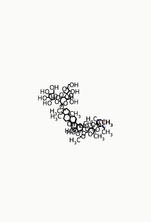 C/C=C(/C)C(=O)OC1C(O)[C@H](O[C@H]2[C@H](OC(C)=O)[C@@]3(CO)C(CC2(C)C)C2=CCC4[C@@]5(C)CC[C@H](O[C@@H]6OC(C(=O)O)CC(O)(OC7O[C@@H](CO)C(O)C7O)C6O[C@@H]6OC(CO)[C@H](O)C(O)C6O)C(C)(C)C5CC[C@@]4(C)[C@]2(C)C[C@H]3O)OC(C)[C@@H]1OC(=O)/C(C)=C\C